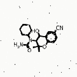 CC1(C)Oc2ccc(C#N)cc2C(O)C1N(C(N)=O)C1CCCCC1